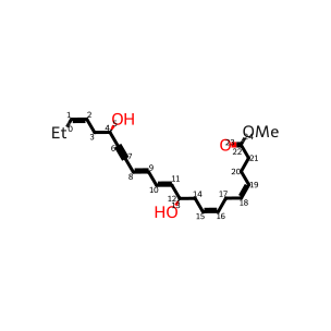 CC/C=C\C[C@@H](O)C#C/C=C/C=C/[C@H](O)C/C=C\C/C=C\CCC(=O)OC